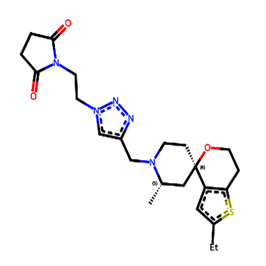 CCc1cc2c(s1)CCO[C@@]21CCN(Cc2cn(CCN3C(=O)CCC3=O)nn2)[C@@H](C)C1